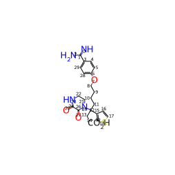 N=C(N)c1ccc(OCCCCC(CC(=O)O)(c2ccsc2)N2CCNC(=O)C2=O)cc1